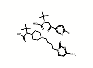 CC(C)(C)N(C(=O)O)C1CCN(CCCCn2ccc(N)nc2=O)CC1.CC(C)(C)N(CC(=O)c1ccc(Cl)nc1)C(=O)O